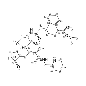 CC(C)CC(NC(=O)OC1CCN(C(=O)OC(C)(C)C)c2ccccc21)C(=O)NC(CC1CCNC1=O)C(=O)C(=O)NCc1ccccn1